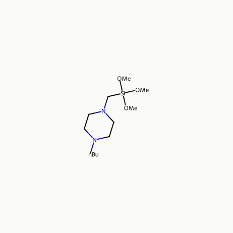 CCCCN1CCN(C[Si](OC)(OC)OC)CC1